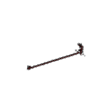 CCCN(CCCNC(=O)CCOCCOCCOCCOCCOCCOCCOCCOCCOCCOCCOCCOCCOCCOCCOCCOCCOCCOCCOCCOCCOCCOCCOCCOCCOCCC(=O)Oc1c(F)c(F)cc(F)c1F)C(=O)C1=Cc2ccc(-c3cccc(S(=O)(=O)N4CC(CO)C4)c3)cc2N=C(N)C1